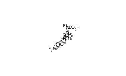 CCN(CCOc1ccccc1C(=O)N1CCC(Oc2cccc(OC(F)(F)F)c2)CC1)C(=O)O